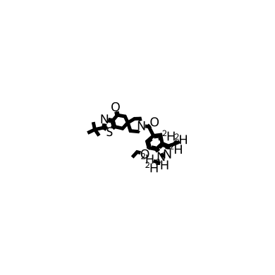 [2H]C([2H])([2H])c1nn(C([2H])([2H])[2H])c2c(OCC)cc(C(=O)N3CCC4(CC3)CC(=O)c3nc(C(C)(C)C)sc3C4)cc12